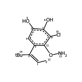 C/C=C(\c1cc(O)c(O)c(Cl)c1ON)C(C)(C)C